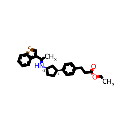 CCOC(=O)CCc1ccc([C@H]2CC[C@H](NC(C)c3csc4ccccc34)C2)cc1